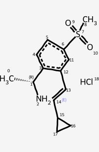 C[C@@H](N)c1ccc(S(C)(=O)=O)cc1/C=C/C1CC1.Cl